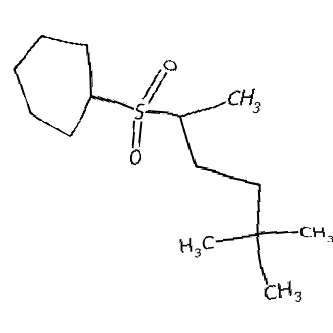 CC(CCC(C)(C)C)S(=O)(=O)C1CCCCC1